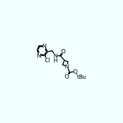 CC(C)(C)OC(=O)N1CC(C(=O)NCc2nccnc2Cl)C1